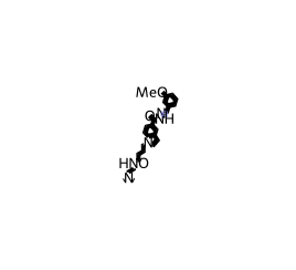 COc1cccc(/C=N/NC(=O)c2ccc3c(ccn3CCCC(=O)NCCN(C)C)c2)c1